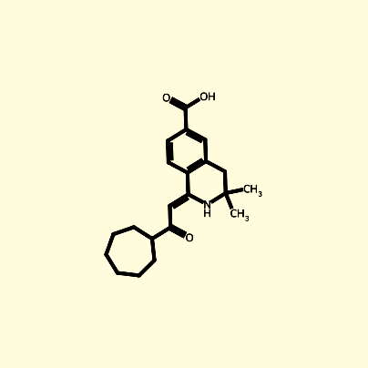 CC1(C)Cc2cc(C(=O)O)ccc2C(=CC(=O)C2CCCCCC2)N1